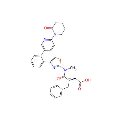 CN(C(=O)[C@@H](CC(=O)O)Cc1ccccc1)c1nc(-c2ccccc2-c2ccc(N3CCCCC3=O)nc2)cs1